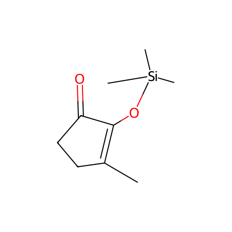 CC1=C(O[Si](C)(C)C)C(=O)CC1